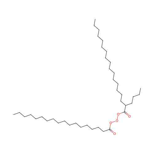 CCCCCCCCCCCCCCCCCC(=O)OOOC(=O)C(CCCC)CCCCCCCCCCCCCCCC